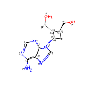 Nc1ncnc2c1ncn2[C@@H]1C[C@H](CO)[C@H]1CO